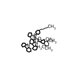 CCCCCc1ccc(Nc2ccccc2-c2cc(-n3c4ccccc4c4ccccc43)c3c4ccccc4n4c3c2Bc2oc3cc5c(cc3c2-4)C(C)(C)CCC5(C)C)cc1